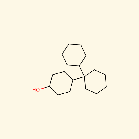 OC1CCC(C2(C3CCCCC3)CCCCC2)CC1